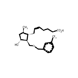 C[C@@H]1C[C@@H](O)[C@H](COCc2cccc(C(F)(F)F)c2)[C@H]1C/C=C\CCCC(=O)O